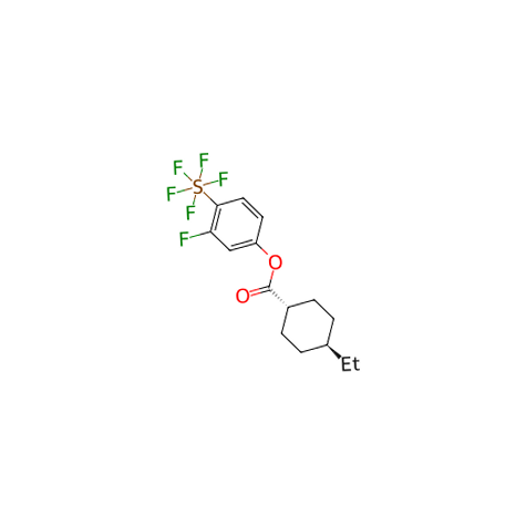 CC[C@H]1CC[C@H](C(=O)Oc2ccc(S(F)(F)(F)(F)F)c(F)c2)CC1